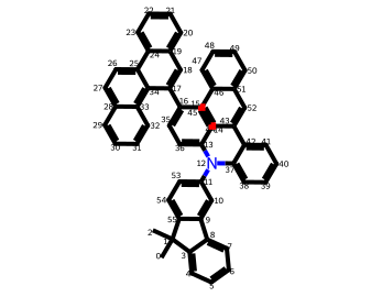 CC1(C)c2ccccc2-c2cc(N(c3ccc(-c4cc5ccccc5c5ccc6ccccc6c45)cc3)c3ccccc3-c3ccc4ccccc4c3)ccc21